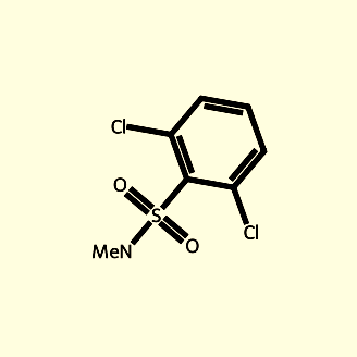 [CH2]NS(=O)(=O)c1c(Cl)cccc1Cl